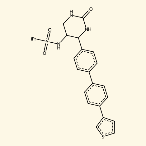 CC(C)S(=O)(=O)NC1CNC(=O)NC1c1ccc(-c2ccc(-c3ccsc3)cc2)cc1